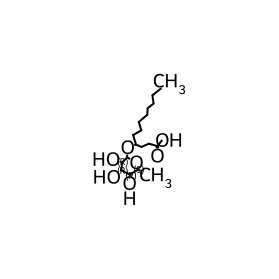 CCCCCCCCCC(CCC(=O)O)OC1O[C@@H](C)[C@H](O)[C@@H](O)[C@H]1O